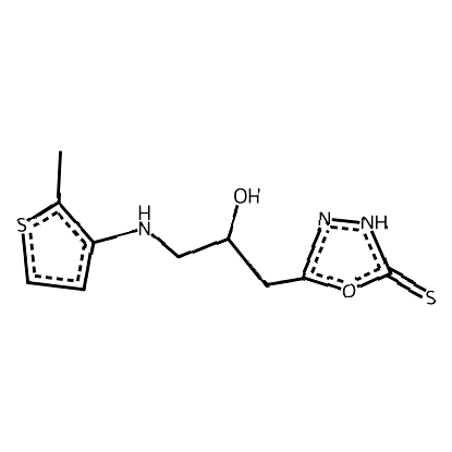 Cc1sccc1NCC(O)Cc1n[nH]c(=S)o1